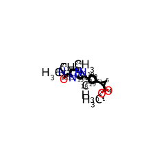 CCOC(=O)C1CC1c1ccc(-c2cc3nc(C(=O)N(C)C)cc(C)n3n2)c(C)c1